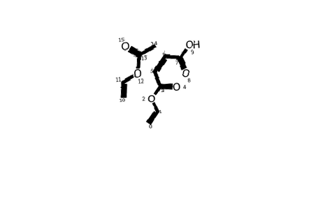 C=COC(=O)/C=C\C(=O)O.C=COC(C)=O